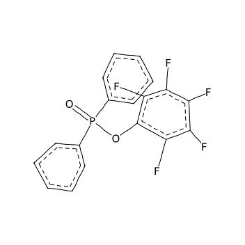 O=P(Oc1c(F)c(F)c(F)c(F)c1F)(c1ccccc1)c1ccccc1